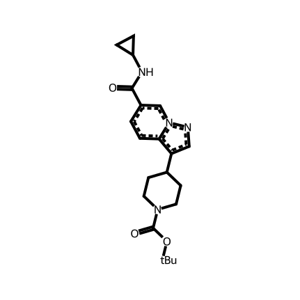 CC(C)(C)OC(=O)N1CCC(c2cnn3cc(C(=O)NC4CC4)ccc23)CC1